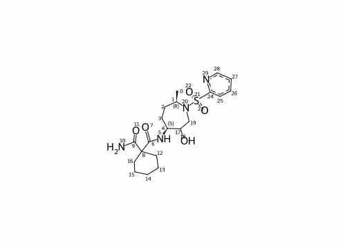 C[C@@H]1CC[C@H](NC(=O)C2(C(N)=O)CCCCC2)C(O)CN1S(=O)(=O)c1ccccn1